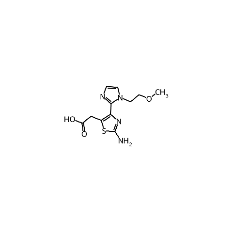 COCCn1ccnc1-c1nc(N)sc1CC(=O)O